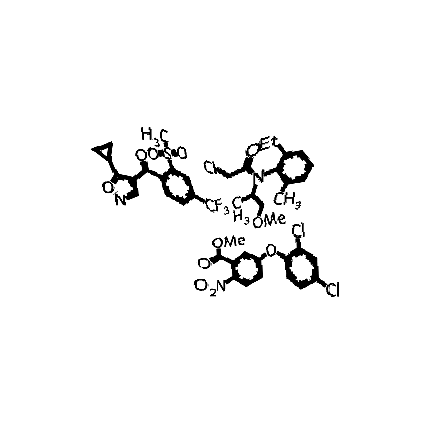 CCc1cccc(C)c1N(C(=O)CCl)C(C)COC.COC(=O)c1cc(Oc2ccc(Cl)cc2Cl)ccc1[N+](=O)[O-].CS(=O)(=O)c1cc(C(F)(F)F)ccc1C(=O)c1cnoc1C1CC1